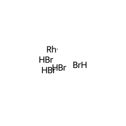 Br.Br.Br.Br.[Rh]